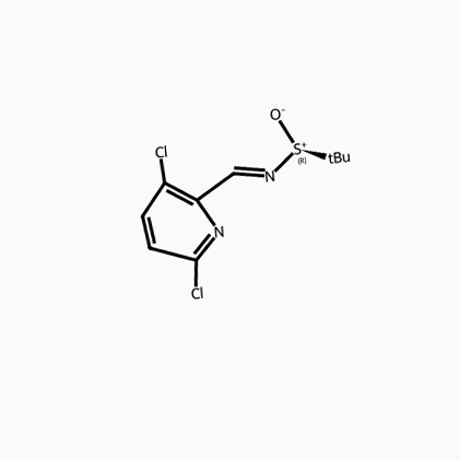 CC(C)(C)[S@+]([O-])N=Cc1nc(Cl)ccc1Cl